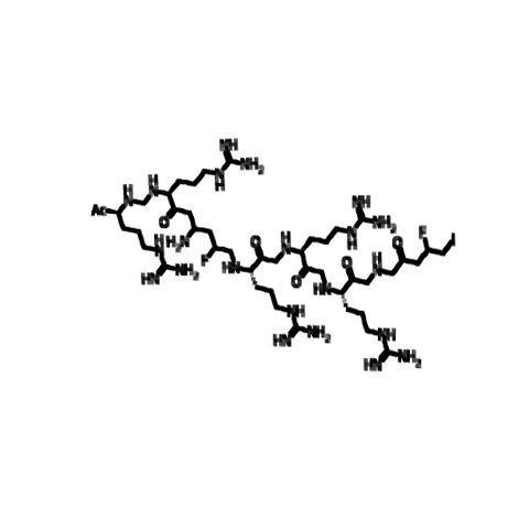 CC(=O)[C@H](CCCNC(=N)N)NCN[C@@H](CCCNC(=N)N)C(=O)CC(N)CC(F)CN[C@@H](CCCNC(=N)N)C(=O)CN[C@@H](CCCNC(=N)N)C(=O)CN[C@@H](CCCNC(=N)N)C(=O)CNCC(=O)CC(F)CI